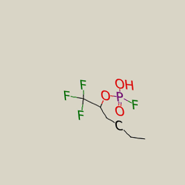 CCCCC(OP(=O)(O)F)C(F)(F)F